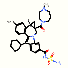 COc1ccc2c(c1)[C@@H]1CC1(C(=O)N1CCCN(C)CC1)Cn1c-2c(C2CCCCC2)c2ccc(C(=O)NS(N)(=O)=O)cc21